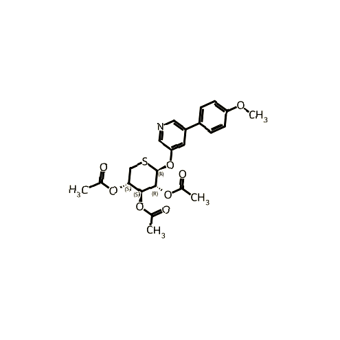 COc1ccc(-c2cncc(O[C@@H]3SC[C@@H](OC(C)=O)[C@H](OC(C)=O)[C@H]3OC(C)=O)c2)cc1